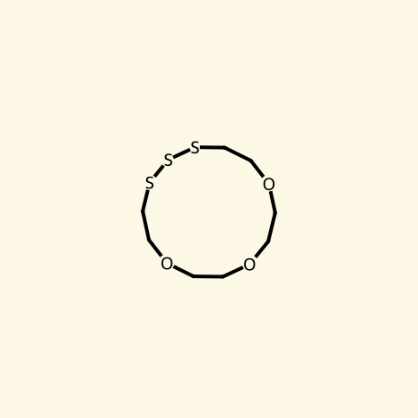 C1COCCSSSCCOCCO1